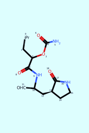 CC(C)CC(OC(N)=O)C(=O)NC(C=O)C[C@@H]1CCNC1=O